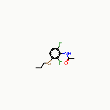 CCCSc1ccc(F)c(NC(C)=O)c1F